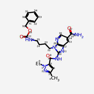 CCn1nc(C)cc1C(=O)Nc1nc2cc(C(N)=O)cnc2n1CCCCNC(=O)OCc1ccccc1